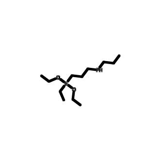 CCCPCCC[Si](CC)(OCC)OCC